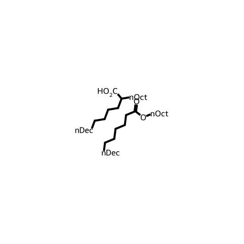 CCCCCCCCCCCCCCC(CCCCCCCC)C(=O)O.CCCCCCCCCCCCCCCC(=O)OCCCCCCCC